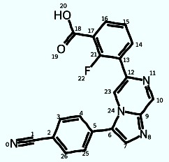 N#Cc1ccc(-c2cnc3cnc(-c4cccc(C(=O)O)c4F)cn23)cc1